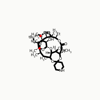 CC[C@H]1OC(=O)[C@H](C)[C@H]2OC3(CCNCC3)O[C@@](C)(C[C@@H](C)CN(C)[C@H](C)[C@@H](O)[C@]1(C)O)[C@H](O[C@@H]1O[C@H](C)[C@@H](OC(C)(C)C)[C@H](N(C)C)[C@H]1O)[C@H]2C